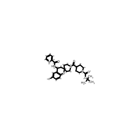 CC(C)(C)OC(=O)N1CCC(C(=O)N2CCC3(CC2)CC(NC(=O)c2ccccn2)c2cc(F)ccc2O3)CC1